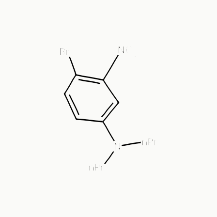 CCCN(CCC)c1ccc(Br)c([N+](=O)[O-])c1